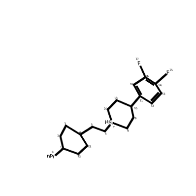 CCCC1CCC(CC[SiH]2CCC(c3ccc(F)c(F)c3)CC2)CC1